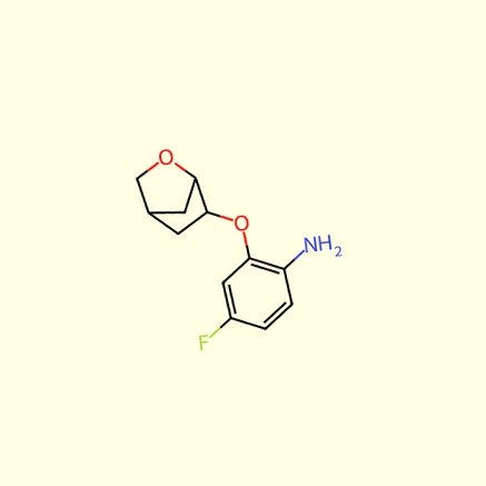 Nc1ccc(F)cc1OC1CC2COC1C2